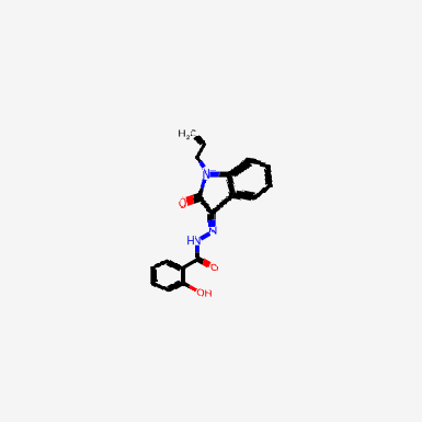 C=CCN1C(=O)/C(=N\NC(=O)c2ccccc2O)c2ccccc21